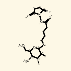 CC(=O)OCC1OC(SCCCCC(=O)ON2C(=O)CCC2=O)C(C)[C@@H](C)[C@H]1OC(C)=O